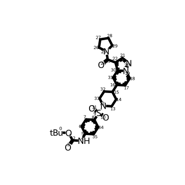 CC(C)(C)OC(=O)Nc1ccc(S(=O)(=O)N2CCC(c3ccn4ncc(C(=O)N5CCCC5)c4c3)CC2)cc1